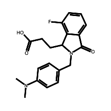 CN(C)c1ccc(CN2C(=O)c3cccc(F)c3C2CCC(=O)O)cc1